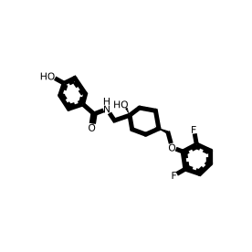 O=C(NC[C@]1(O)CC[C@H](COc2c(F)cccc2F)CC1)c1ccc(O)cc1